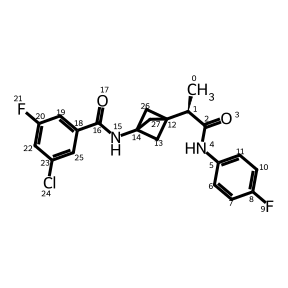 C[C@@H](C(=O)Nc1ccc(F)cc1)C12CC(NC(=O)c3cc(F)cc(Cl)c3)(C1)C2